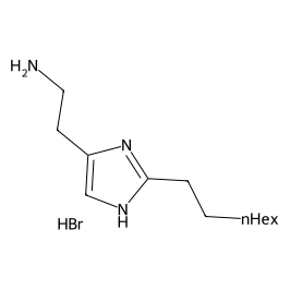 Br.CCCCCCCCc1nc(CCN)c[nH]1